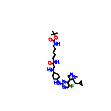 Cn1ncc(-c2nc(NC3CCC(NCC(=O)NCCCCCNC(=O)OC(C)(C)C)CC3)ncc2F)c1CC1CC1